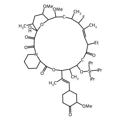 CCC1/C=C(\C)C(F)C(C)CC(OC)C2OC(O)(C(=O)C(=O)N3CCCCC3C(=O)OC(C(C)=CC3CCC(=O)C(OC)C3)C(C)C(O[Si](C(C)C)(C(C)C)C(C)C)CC1=O)C(C)CC2OC